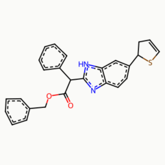 O=C(OCc1ccccc1)C(c1ccccc1)c1nc2ccc(C3CC=CS3)cc2[nH]1